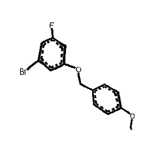 COc1ccc(COc2cc(F)cc(Br)c2)cc1